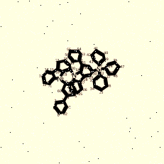 c1ccc(-c2cccc(-n3c4ccccc4c4cccc(-n5c6ccccc6c6cc([Si](c7ccccc7)(c7ccccc7)c7ccccc7)cc(-c7ccccc7)c65)c43)c2)cc1